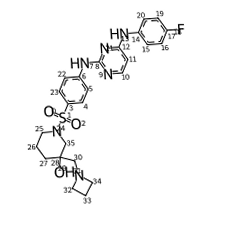 O=S(=O)(c1ccc(Nc2nccc(Nc3ccc(F)cc3)n2)cc1)N1CCCC(O)(CN2CCC2)C1